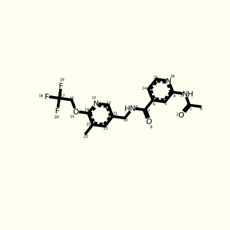 CC(=O)Nc1cc(C(=O)NCc2cnc(OCC(F)(F)F)c(C)c2)ccn1